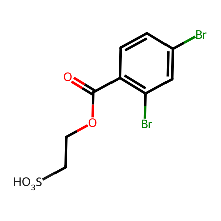 O=C(OCCS(=O)(=O)O)c1ccc(Br)cc1Br